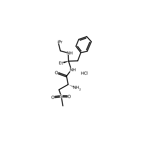 CC[C@](Cc1ccccc1)(NCC(C)C)NC(=O)[C@H](N)CS(C)(=O)=O.Cl